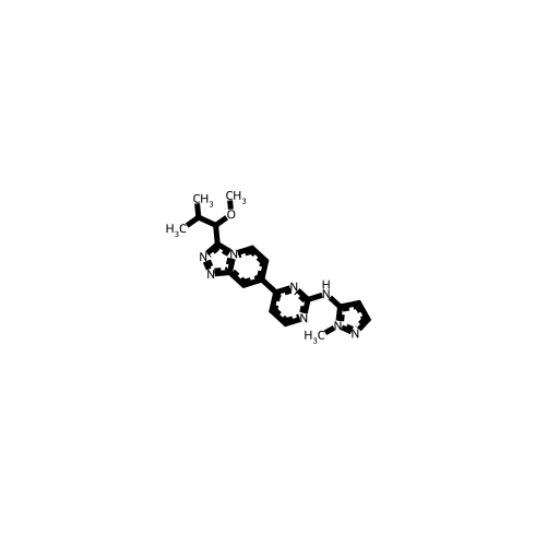 COC(c1nnc2cc(-c3ccnc(Nc4ccnn4C)n3)ccn12)C(C)C